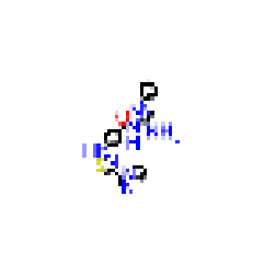 Nc1cn(-c2ccccc2)nc1NC(=O)c1ccc(Nc2nc(-c3cnc4ccccn34)cs2)cc1